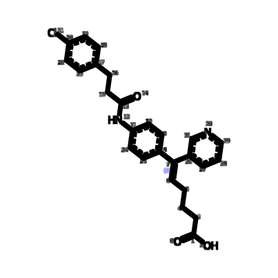 O=C(O)CCC/C=C(/c1ccc(NC(=O)CCc2ccc(Cl)cc2)cc1)c1cccnc1